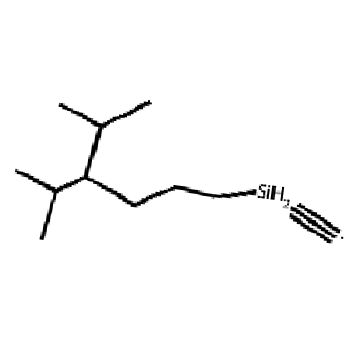 [C]#C[SiH2]CCCC(C(C)C)C(C)C